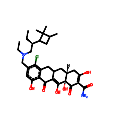 CC[C@H](CN(CC)Cc1cc(O)c2c(c1Cl)CC1C[C@H]3CC(O)=C(C(N)=O)C(=O)[C@@]3(O)C(O)=C1C2=O)C1CC(C)C1(C)C